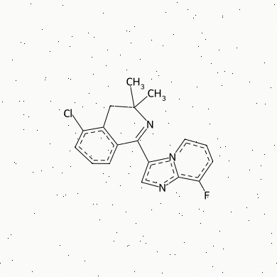 CC1(C)Cc2c(Cl)cccc2C(c2cnc3c(F)cccn23)=N1